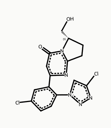 O=c1cc(-c2cc(Cl)ccc2-n2cc(Cl)nn2)nc2n1[C@H](CO)CC2